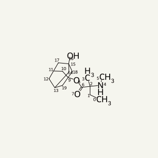 CCC(C)(NC)C(=O)OC12CC3CC(CC(O)(C3)C1)C2